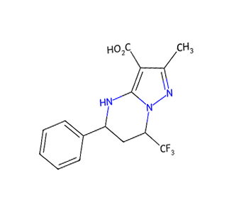 Cc1nn2c(c1C(=O)O)NC(c1ccccc1)CC2C(F)(F)F